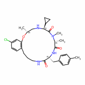 Cc1ccc(C[C@H]2NC(=O)[C@@H](C)N(C)C(=O)[C@H](C3CC3)NC[C@@H](C)Oc3cc(Cl)ccc3CCCNC2=O)cc1